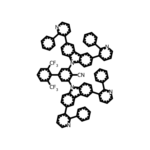 N#Cc1c(-n2c3ccc(-c4cccnc4-c4ccccc4)cc3c3cc(-c4cccnc4-c4ccccc4)ccc32)cc(-c2c(C(F)(F)F)cccc2C(F)(F)F)cc1-n1c2ccc(-c3cccnc3-c3ccccc3)cc2c2cc(-c3cccnc3-c3ccccc3)ccc21